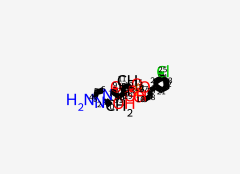 C=C1N=C(N)C=CN1[C@@H]1O[C@](C)(COP2(=O)OCCC(c3cccc(Cl)c3)O2)[C@@H](O)[C@H]1O